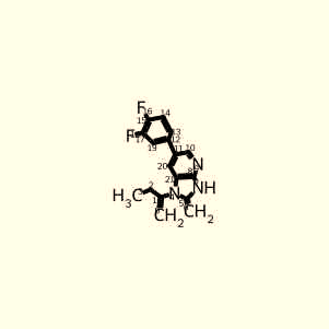 C=C(CC)N1C(=C)Nc2ncc(-c3ccc(F)c(F)c3)cc21